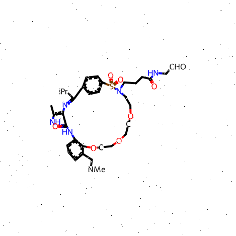 CNCc1cccc2c1OCCOCCOCCN(CCCC(=O)NCC=O)S(=O)(=O)c1ccc(cc1)/C(C(C)C)=N/C(=C(\C)N)C(=O)N2